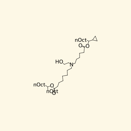 CCCCCCCCC(CCCCCCCC)OC(=O)CCCCCCCN(CCO)CCCCCC(=O)OC(CCCCCCCC)C1CC1